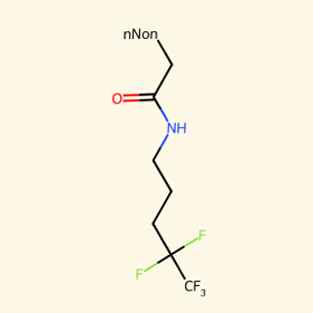 [CH2]CCCCCCCCCC(=O)NCCCC(F)(F)C(F)(F)F